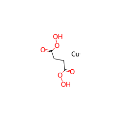 O=C(CCC(=O)OO)OO.[Cu]